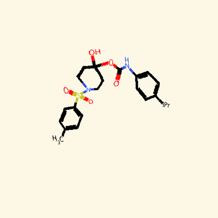 Cc1ccc(S(=O)(=O)N2CCC(O)(OC(=O)Nc3ccc(C(C)C)cc3)CC2)cc1